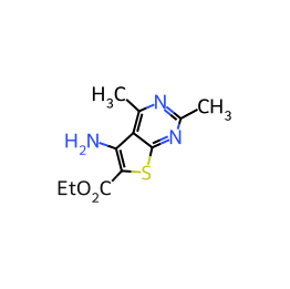 CCOC(=O)c1sc2nc(C)nc(C)c2c1N